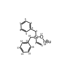 C=C[Si](Cc1ccccc1)(Cc1ccccc1)OCCCC